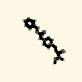 CON(C)C(=O)CCN1CCN(CC(=O)OCc2ccccc2)CC1